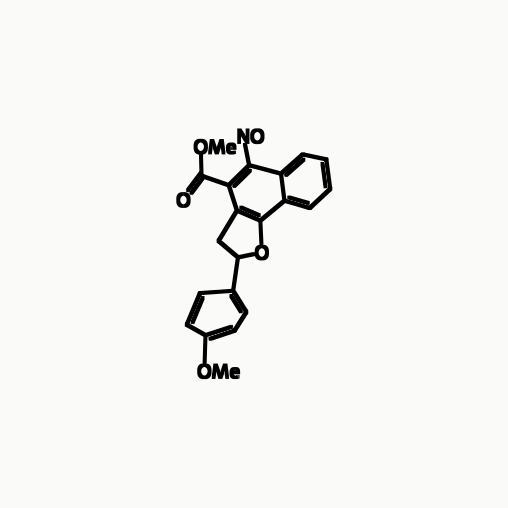 COC(=O)c1c2c(c3ccccc3c1N=O)OC(c1ccc(OC)cc1)C2